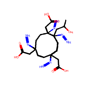 CC(O)CC1(N=N)CCC(CC(=O)O)(N=N)CCC(CC(=O)O)(N=N)CCC1(CC(=O)O)N=N